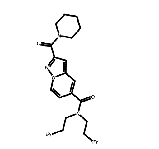 CC(C)CCN(CCC(C)C)C(=O)c1ccn2nc(C(=O)N3CCCCC3)cc2c1